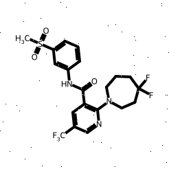 CS(=O)(=O)c1cccc(NC(=O)c2cc(C(F)(F)F)cnc2N2CCCC(F)(F)CC2)c1